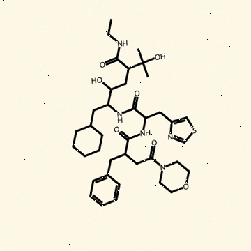 CCNC(=O)C(CC(O)C(CC1CCCCC1)NC(=O)C(Cc1cscn1)NC(=O)C(CC(=O)N1CCOCC1)Cc1ccccc1)C(C)(C)O